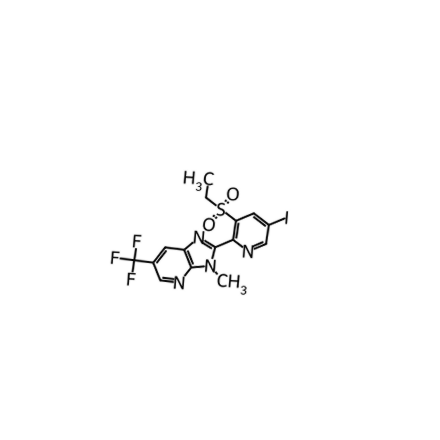 CCS(=O)(=O)c1cc(I)cnc1-c1nc2cc(C(F)(F)F)cnc2n1C